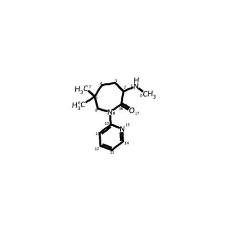 CNC1CCC(C)(C)CN(c2ccccn2)C1=O